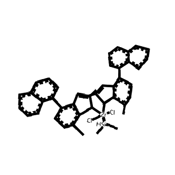 CC1=Cc2c(-c3cccc4ccccc34)ccc(C)c2[CH]1[Zr]([Cl])([Cl])([CH]1C(C)=Cc2c(-c3cccc4ccccc34)ccc(C)c21)[SiH](C)C